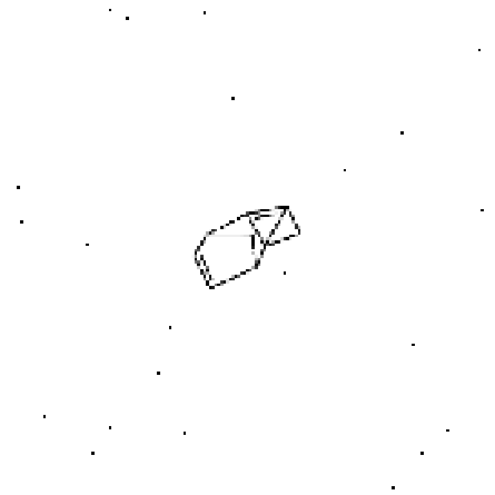 C1=CC2CC1C1=C3CC312